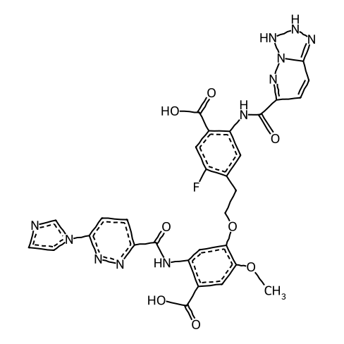 COc1cc(C(=O)O)c(NC(=O)c2ccc(-n3ccnc3)nn2)cc1OCCc1cc(NC(=O)C2=NN3NNN=C3C=C2)c(C(=O)O)cc1F